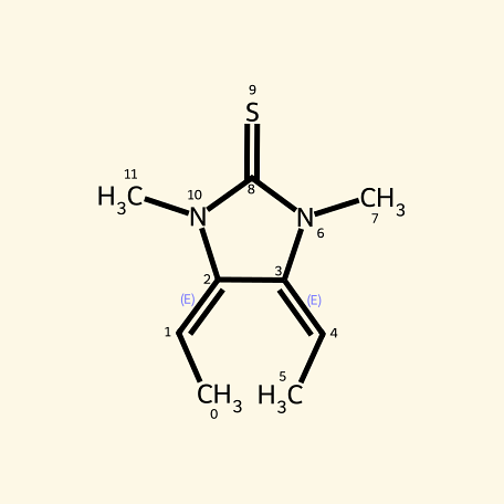 C/C=c1\c(=C/C)n(C)c(=S)n1C